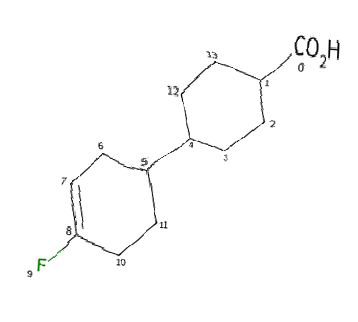 O=C(O)C1CCC(C2CC=C(F)CC2)CC1